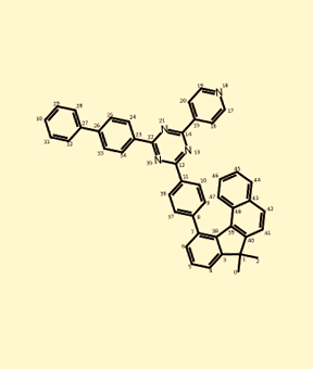 CC1(C)c2cccc(-c3ccc(-c4nc(-c5ccncc5)nc(-c5ccc(-c6ccccc6)cc5)n4)cc3)c2-c2c1ccc1ccccc21